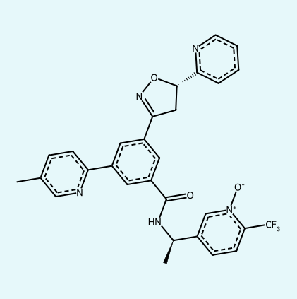 Cc1ccc(-c2cc(C(=O)N[C@H](C)c3ccc(C(F)(F)F)[n+]([O-])c3)cc(C3=NO[C@H](c4ccccn4)C3)c2)nc1